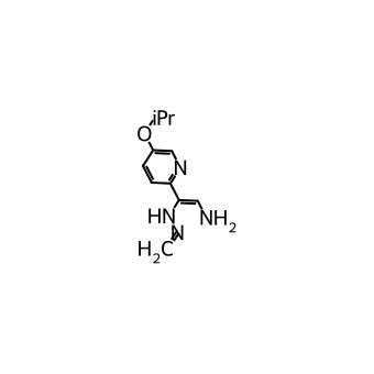 C=NN/C(=C\N)c1ccc(OC(C)C)cn1